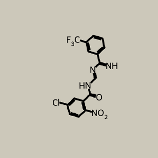 N=C(/N=C/NC(=O)c1cc(Cl)ccc1[N+](=O)[O-])c1cccc(C(F)(F)F)c1